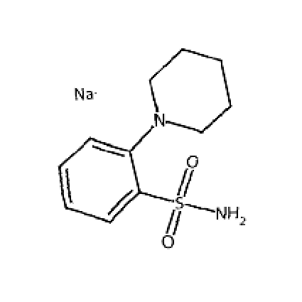 NS(=O)(=O)c1ccccc1N1CCCCC1.[Na]